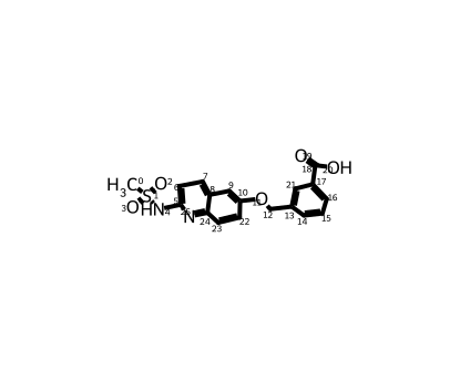 CS(=O)(=O)Nc1ccc2cc(OCc3cccc(C(=O)O)c3)ccc2n1